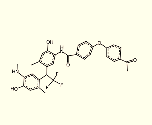 CNc1cc(C(c2cc(NC(=O)c3ccc(Oc4ccc(C(C)=O)cc4)cc3)c(O)cc2C)C(F)(F)F)c(C)cc1O